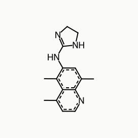 Cc1cc(NC2=NCCN2)c(C)c2c(C)ccnc12